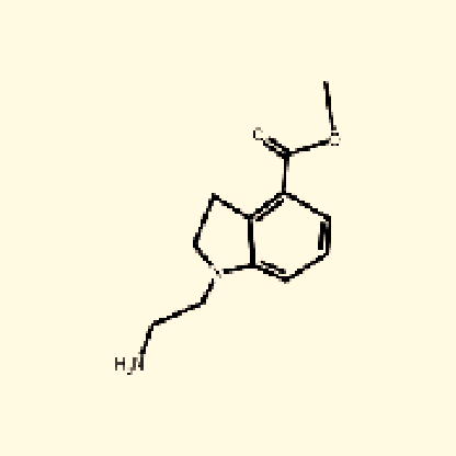 COC(=O)c1cccc2c1CCN2CCN